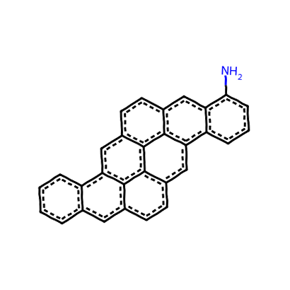 Nc1cccc2c1cc1ccc3cc4c5ccccc5cc5ccc6cc2c1c3c6c54